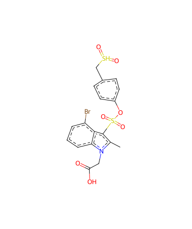 Cc1c(S(=O)(=O)Oc2ccc(C[SH](=O)=O)cc2)c2c(Br)cccc2n1CC(=O)O